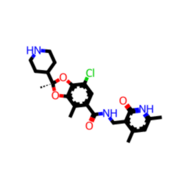 Cc1cc(C)c(CNC(=O)c2cc(Cl)c3c(c2C)O[C@@](C)(C2CCNCC2)O3)c(=O)[nH]1